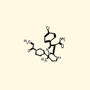 C=CC(=O)N1CCC(C2(C)CCNc3c(C(N)=O)c(-c4ccc(Cl)cc4)nn32)CC1